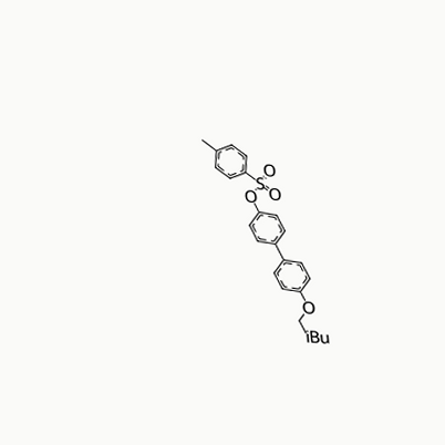 CCC(C)COc1ccc(-c2ccc(OS(=O)(=O)c3ccc(C)cc3)cc2)cc1